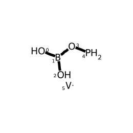 OB(O)OP.[V]